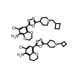 Nc1c(Cl)cc(-c2nnc(C3CCN(C4CCC4)CC3)o2)c2c1CCCO2.Nc1c(Cl)cc(-c2nnc(C3CCN(CC4CCC4)CC3)o2)c2c1OCCO2